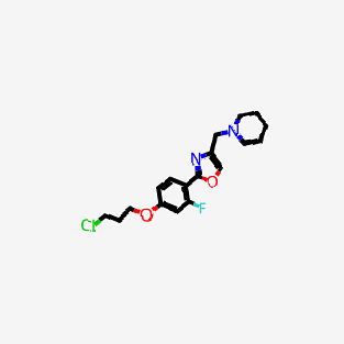 Fc1cc(OCCCCl)ccc1-c1nc(CN2CCCCC2)co1